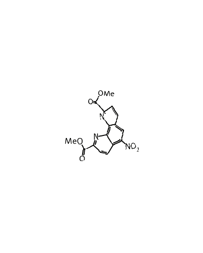 COC(=O)c1ccc2cc([N+](=O)[O-])c3ccc(C(=O)OC)nc3c2n1